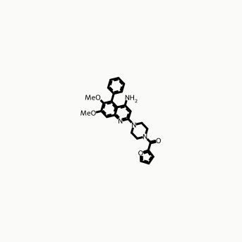 COc1cc2nc(N3CCN(C(=O)c4ccco4)CC3)cc(N)c2c(-c2ccccc2)c1OC